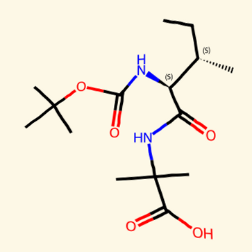 CC[C@H](C)[C@H](NC(=O)OC(C)(C)C)C(=O)NC(C)(C)C(=O)O